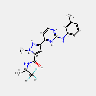 Cc1cccc(Nc2nccc(-c3cc(C(=O)NC(C)C(F)(F)F)n(C)n3)n2)c1